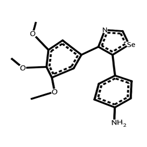 COc1cc(-c2nc[se]c2-c2ccc(N)cc2)cc(OC)c1OC